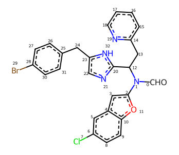 O=CN(c1cc2cc(Cl)ccc2o1)C(Cc1ccccn1)c1ncc(Cc2ccc(Br)cc2)[nH]1